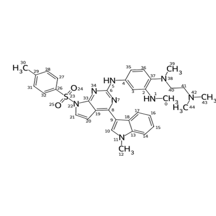 CNc1cc(Nc2nc(-c3cn(C)c4ccccc34)c3ccn(S(=O)(=O)c4ccc(C)cc4)c3n2)ccc1N(C)CCN(C)C